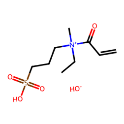 C=CC(=O)[N+](C)(CC)CCCS(=O)(=O)O.[OH-]